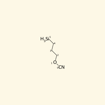 N#COCCC[SiH3]